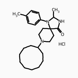 Cc1ccc(N2C(C)NC(=O)C23CCN(C2CCCCCCCCC2)CC3)cc1.Cl